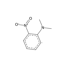 CN(C)c1[c]cccc1[N+](=O)[O-]